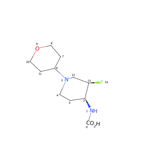 O=C(O)N[C@H]1CCN(C2CCOCC2)C[C@H]1F